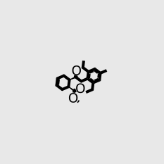 CCc1cc(C)cc(CC)c1CC(=O)[C@@H]1CC=CC[C@@H]1C(=O)OC